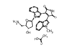 CC(=O)O.Cn1cc(C2=C(c3cn([C@H]4C[C@H](O)[C@@H](CN)O4)c4ccccc34)C(=O)NC2=O)c2ccccc21